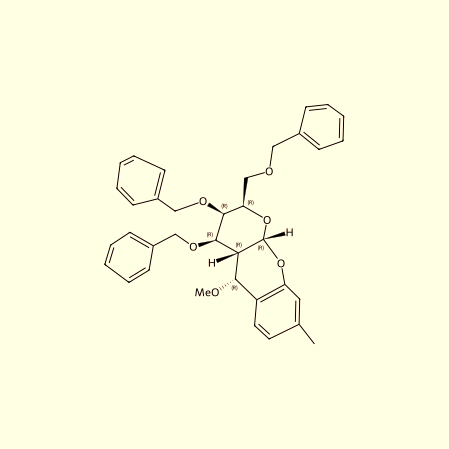 CO[C@H]1c2ccc(C)cc2O[C@H]2O[C@H](COCc3ccccc3)[C@H](OCc3ccccc3)[C@H](OCc3ccccc3)[C@H]21